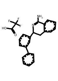 NC1=NC(c2cccc(-c3ccccc3)c2)Cc2ccccc21.O=C(O)C(F)(F)F